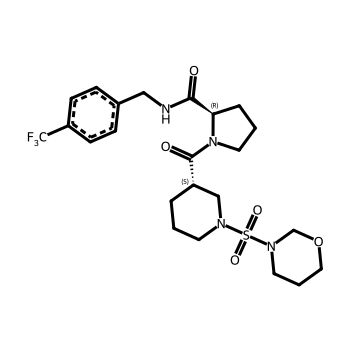 O=C(NCc1ccc(C(F)(F)F)cc1)[C@H]1CCCN1C(=O)[C@H]1CCCN(S(=O)(=O)N2CCCOC2)C1